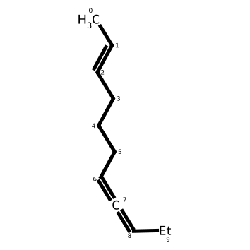 CC=CCCCC=C=CCC